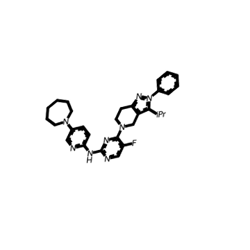 CC(C)c1c2c(nn1-c1ccccc1)CCN(c1nc(Nc3ccc(N4CCCCCC4)cn3)ncc1F)C2